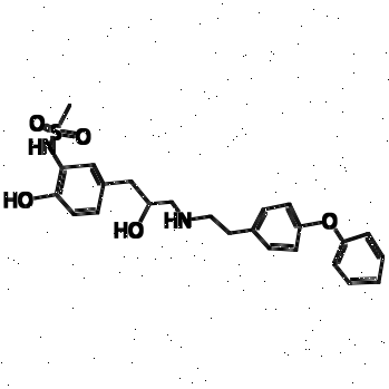 CS(=O)(=O)Nc1cc(CC(O)CNCCc2ccc(Oc3ccccc3)cc2)ccc1O